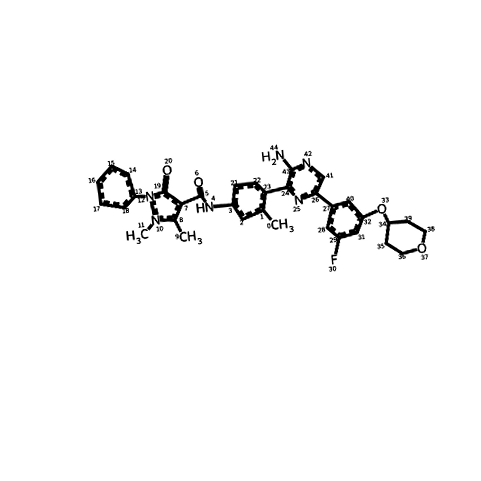 Cc1cc(NC(=O)c2c(C)n(C)n(-c3ccccc3)c2=O)ccc1-c1nc(-c2cc(F)cc(OC3CCOCC3)c2)cnc1N